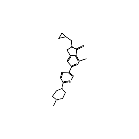 Cc1cc(-c2ccc(N3CCN(C)CC3)nc2)cc2c1C(=O)N(CC1CC1)C2